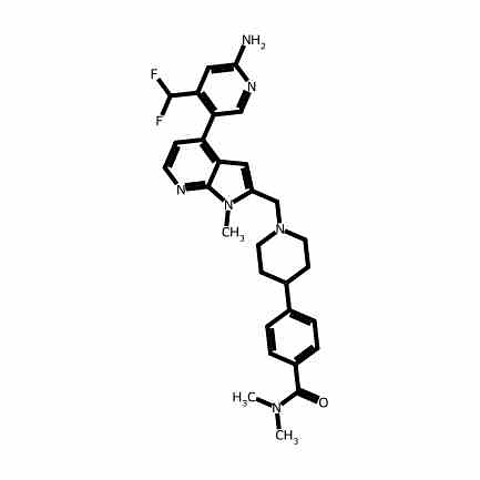 CN(C)C(=O)c1ccc(C2CCN(Cc3cc4c(-c5cnc(N)cc5C(F)F)ccnc4n3C)CC2)cc1